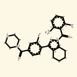 O=C(c1ccc(-c2nn(C(=O)c3c(Cl)cccc3C(F)(F)F)c3c2CCCC3)c(F)c1)N1CCOCC1